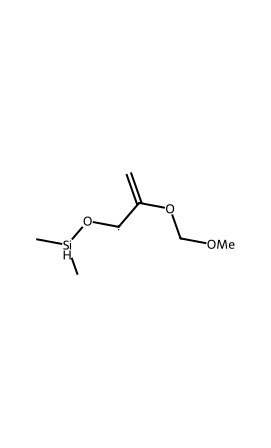 C=C([CH]O[SiH](C)C)OCOC